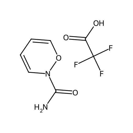 NC(=O)N1C=CC=CO1.O=C(O)C(F)(F)F